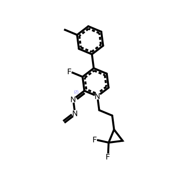 C=N/N=c1/c(F)c(-c2cccc(C)c2)ccn1CCC1CC1(F)F